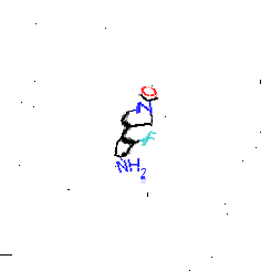 Nc1ccc(C2CCN(C3COC3)CC2)c(F)c1